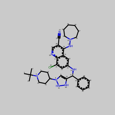 CC(C)(C)N1CCC(N2C=C([C@@H](Nc3cc(Cl)c4ncc(C#N)c(NN5CCCCCC5)c4c3)c3ccccc3)NN2)CC1